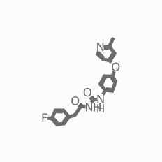 Cc1cc(Oc2ccc(NC(=O)NC(=O)Cc3ccc(F)cc3)cc2)ccn1